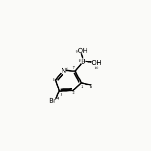 Cc1cc(Br)cnc1B(O)O